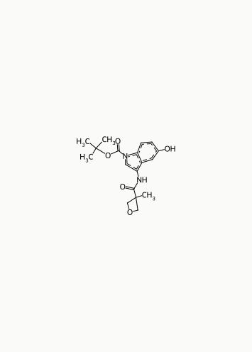 CC(C)(C)OC(=O)n1cc(NC(=O)C2(C)COC2)c2cc(O)ccc21